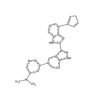 CN(C)c1cncc(-c2ccc3[nH]nc(-c4cc5c(C6=CCC=C6)cccc5[nH]4)c3c2)c1